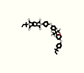 CCC(C)(C)c1ccc(Oc2ccc(C(c3ccc(Oc4ccc(N5C(=O)C6C7CCC(C6C5=O)C5C(=O)N(C(C)(C)CC)C(=O)C75)cc4)cc3)(C(F)(F)F)C(F)(F)F)cc2)cc1